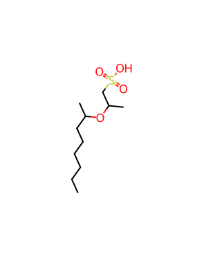 CCCCCCC(C)OC(C)CS(=O)(=O)O